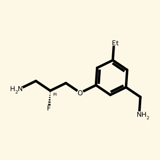 CCc1cc(CN)cc(OC[C@H](F)CN)c1